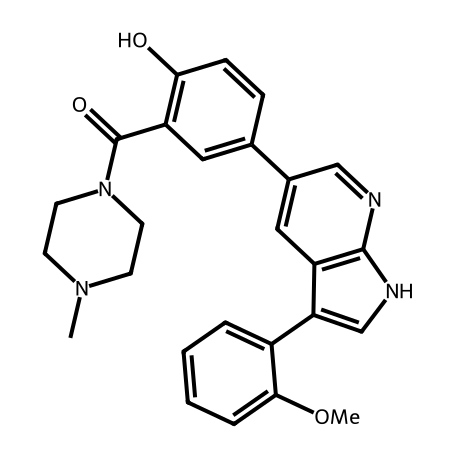 COc1ccccc1-c1c[nH]c2ncc(-c3ccc(O)c(C(=O)N4CCN(C)CC4)c3)cc12